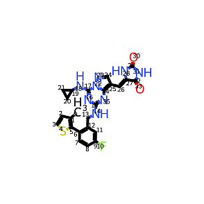 Cc1ccsc1-c1ccc(F)cc1CNc1nc(NC2CC2)n2ncc(/C=C3\NC(=O)NC3=O)c2n1